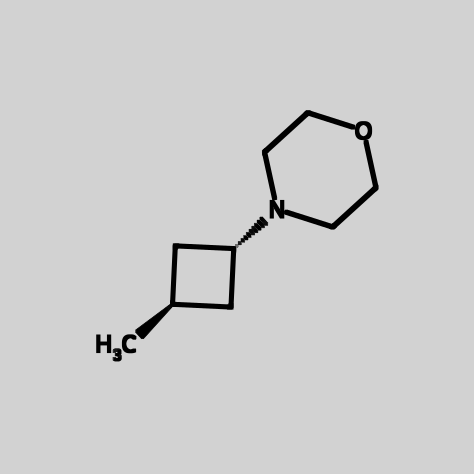 C[C@H]1C[C@H](N2CCOCC2)C1